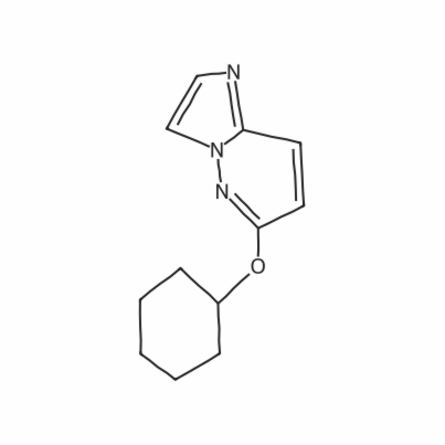 c1cn2nc(OC3CCCCC3)ccc2n1